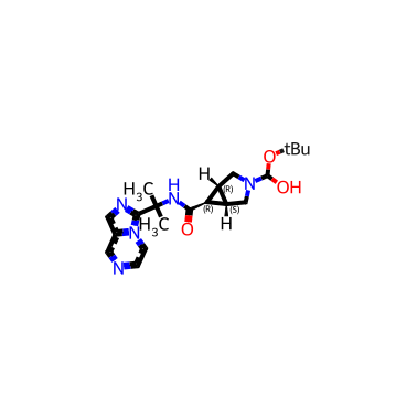 CC(C)(C)OC(O)N1C[C@@H]2[C@H](C1)[C@H]2C(=O)NC(C)(C)c1ncc2cnccn12